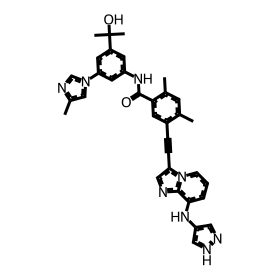 Cc1cn(-c2cc(NC(=O)c3cc(C#Cc4cnc5c(Nc6cn[nH]c6)cccn45)c(C)cc3C)cc(C(C)(C)O)c2)cn1